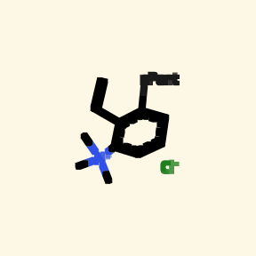 C=Cc1c(CCCCC)cccc1[N+](C)(C)C.[Cl-]